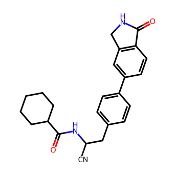 N#CC(Cc1ccc(-c2ccc3c(c2)CNC3=O)cc1)NC(=O)C1CCCCC1